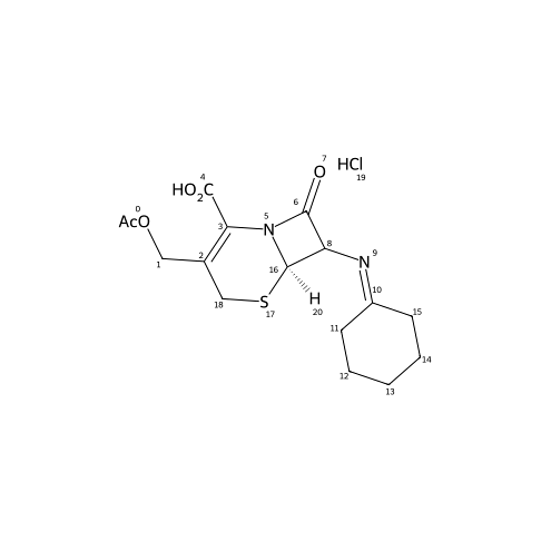 CC(=O)OCC1=C(C(=O)O)N2C(=O)C(N=C3CCCCC3)[C@H]2SC1.Cl